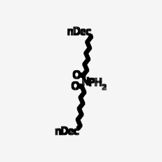 CCCCCCCCCCCCCCCCCC(=O)N(P)C(=O)CCCCCCCCCCCCCCCCC